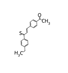 CCc1ccc(C(=S)C=Cc2ccc(C(C)=O)cc2)cc1